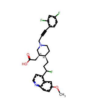 COc1ccc2nccc(C(F)CC[C@@H]3CCN(CC#Cc4ccc(F)cc4F)C[C@@H]3CC(=O)O)c2c1